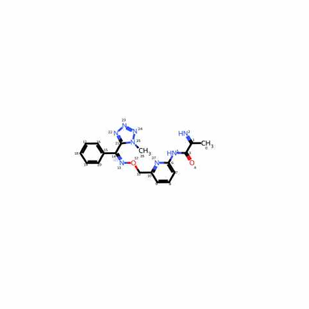 CC(=N)C(=O)Nc1cccc(CO/N=C(/c2ccccc2)c2nnnn2C)n1